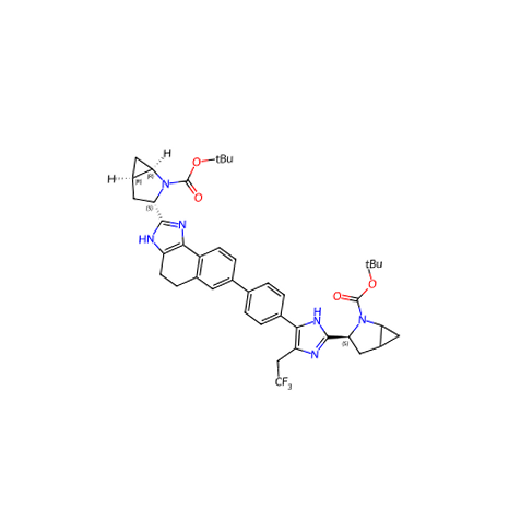 CC(C)(C)OC(=O)N1C2CC2C[C@H]1c1nc(CC(F)(F)F)c(-c2ccc(-c3ccc4c(c3)CCc3[nH]c([C@@H]5C[C@H]6C[C@H]6N5C(=O)OC(C)(C)C)nc3-4)cc2)[nH]1